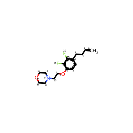 C=CCCc1ccc(OCCN2CCOCC2)c(F)c1F